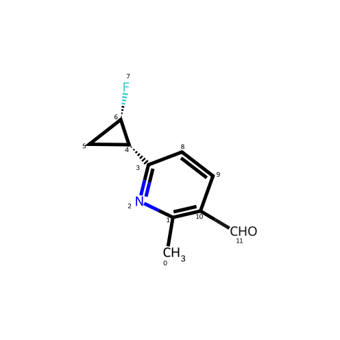 Cc1nc([C@@H]2C[C@@H]2F)ccc1C=O